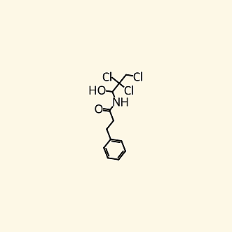 O=C(CCc1ccccc1)NC(O)C(Cl)(Cl)CCl